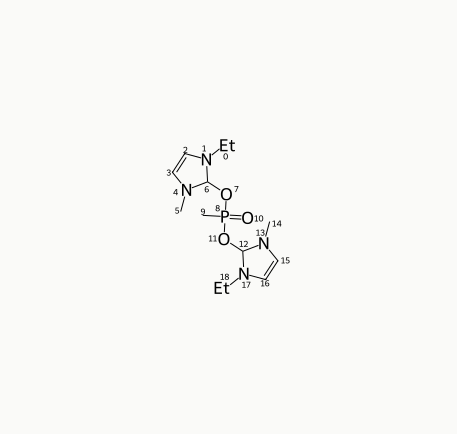 CCN1C=CN(C)C1OP(C)(=O)OC1N(C)C=CN1CC